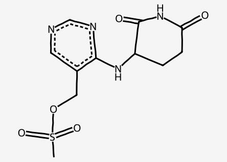 CS(=O)(=O)OCc1cncnc1NC1CCC(=O)NC1=O